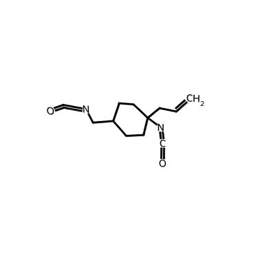 C=CCC1(N=C=O)CCC(CN=C=O)CC1